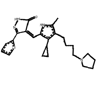 Cc1[nH]c(C=C2C(=O)NN=C2c2cccs2)c(C2CC2)c1CCCCN1CCCC1